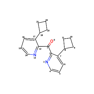 O=C(c1ncccc1C1CCC1)c1ncccc1C1CCC1